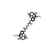 CN1CC[C@]23c4c5ccc(OC(=O)CCCCC(=O)Oc6ccc7c8c6O[C@H]6C(=O)CC[C@H]9[C@@H](C7)N(C)CC[C@]869)c4O[C@H]2C(=O)CC[C@H]3[C@H]1C5